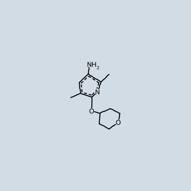 Cc1cc(N)c(C)nc1OC1CCOCC1